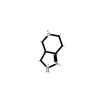 C1CC2=NNCC2CO1